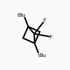 CC(C)(C)C12CC(C(C)(C)C)(C1)C2(F)F